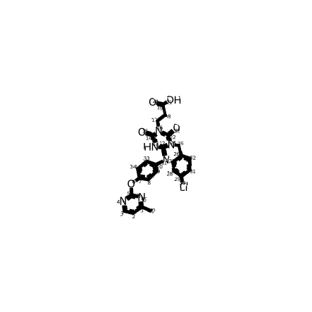 Cc1ccnc(Oc2ccc(/N=c3\[nH]c(=O)n(CCC(=O)O)c(=O)n3Cc3ccc(Cl)cc3)cc2)n1